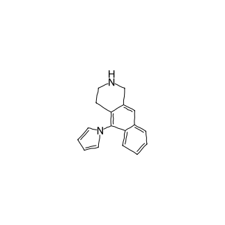 c1ccc2c(-n3cccc3)c3c(cc2c1)CNCC3